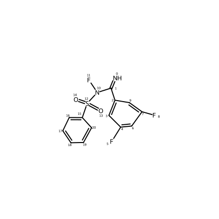 N=C(c1cc(F)cc(F)c1)N(F)S(=O)(=O)c1ccccc1